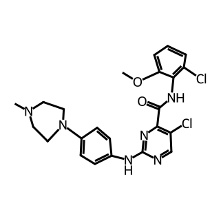 COc1cccc(Cl)c1NC(=O)c1nc(Nc2ccc(N3CCN(C)CC3)cc2)ncc1Cl